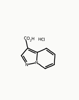 Cl.O=C(O)c1cnn2ccccc12